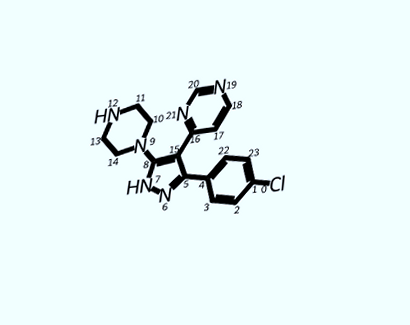 Clc1ccc(-c2n[nH]c(N3CCNCC3)c2-c2ccncn2)cc1